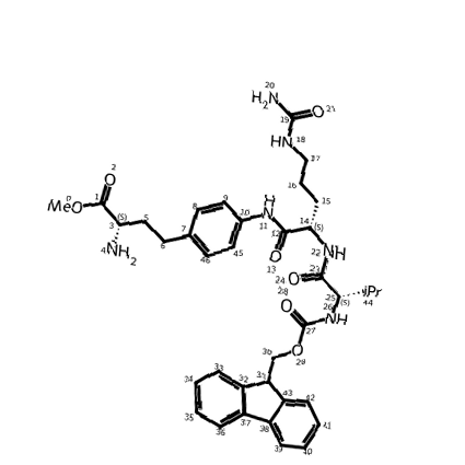 COC(=O)[C@@H](N)CCc1ccc(NC(=O)[C@H](CCCNC(N)=O)NC(=O)[C@@H](NC(=O)OCC2c3ccccc3-c3ccccc32)C(C)C)cc1